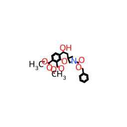 COC(=O)c1ccc2c(c1C(=O)OC)OC1(CC2O)CN(C(=O)OCc2ccccc2)C1